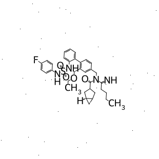 CCCCC(=N)N(Cc1ccc(-c2ccccc2NS(=O)(=O)Nc2ccc(F)cc2)c(COCC)c1)C(=O)C1CC2C[C@@H]2C1